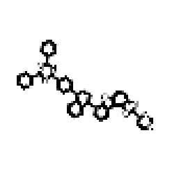 c1ccc(-c2nc(-c3ccccc3)nc(-c3ccc(-c4ccc(-c5cccc6c5oc5ccc7nc(-c8ccncn8)oc7c56)c5ccccc45)cc3)n2)cc1